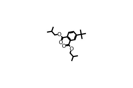 CC(C)COC(=O)c1ccc(C(C)(C)C)cc1C(=O)OCC(C)C